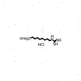 CCCCCCCCCCCCCCCNC(=N)S.Cl